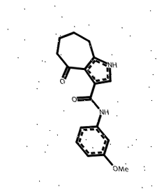 COc1cccc(NC(=O)c2c[nH]c3c2C(=O)CCCC3)c1